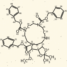 COCC(C1COC(C)(C)O1)[N+]1(C(=O)OCc2ccccc2)CCNCCN(C(=O)OCc2ccccc2)CCN(C(=O)OCc2ccccc2)CC1